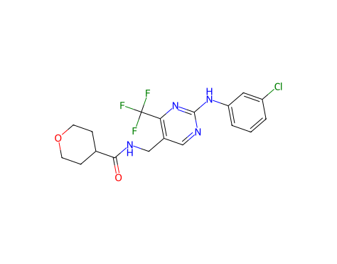 O=C(NCc1cnc(Nc2cccc(Cl)c2)nc1C(F)(F)F)C1CCOCC1